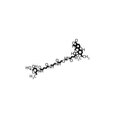 CCC1O[C@H](CO)[C@@H](O)C[C@H]1NC(=O)CCCC(=O)NCCCNC(=O)CCOCCNC(=O)CCC(=O)O[C@@H]1C(C(C)C)C[C@@H]2O[C@@]23[C@@]2(C)CCC4=C(COC4=O)C2CO[C@]13C